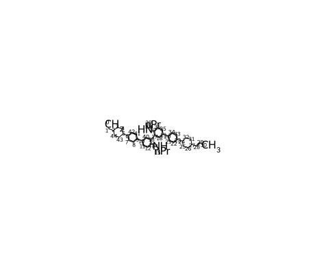 C=CC1CCC(c2ccc(-c3ccc(NCCC)c(-c4cc(-c5ccc(C6CCC(/C=C/C)CC6)cc5)ccc4NCCC)c3)cc2)CC1